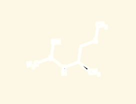 CSC[C@@H](C)NB(C)O